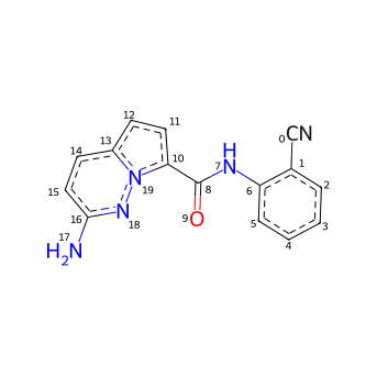 N#Cc1ccccc1NC(=O)c1ccc2ccc(N)nn12